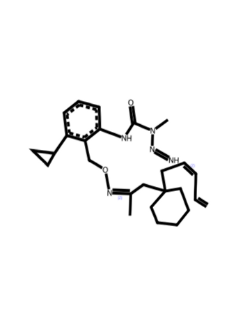 C=C/C=C\CC1(C/C(C)=N\OCc2c(NC(=O)N(C)N=N)cccc2C2CC2)CCCCC1